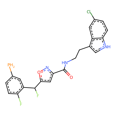 O=C(NCCc1c[nH]c2ccc(Cl)cc12)c1cc(C(F)c2cc(P)ccc2F)on1